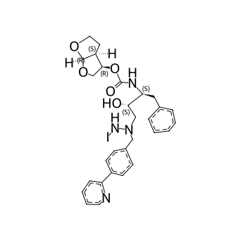 O=C(N[C@@H](Cc1ccccc1)[C@@H](O)CN(Cc1ccc(-c2ccccn2)cc1)NI)O[C@H]1CO[C@H]2OCC[C@H]21